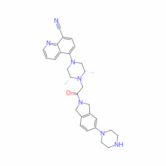 C[C@@H]1CN(c2ccc(C#N)c3ncccc23)C[C@H](C)N1CC(=O)N1Cc2ccc(N3CCNCC3)cc2C1